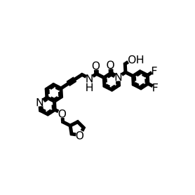 O=C(NCC#Cc1ccc2nccc(OCC3CCOC3)c2c1)c1cccn(C(CO)c2ccc(F)c(F)c2)c1=O